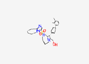 Cc1cccc(-c2ccc([C@H]3C4CN(S(=O)(=O)c5cnc6n5CCCCC6)C/C=C\CN4[C@@H]3CO)cc2)c1C